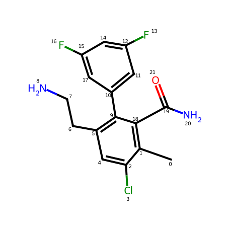 Cc1c(Cl)cc(CCN)c(-c2cc(F)cc(F)c2)c1C(N)=O